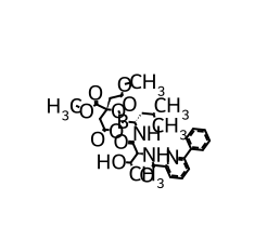 COC(=O)C[C@]1(C(=O)OC)CC(=O)OB([C@H](CC(C)C)NC(=O)[C@@H](NC(=O)c2cccc(-c3ccccc3)n2)[C@@H](C)O)O1